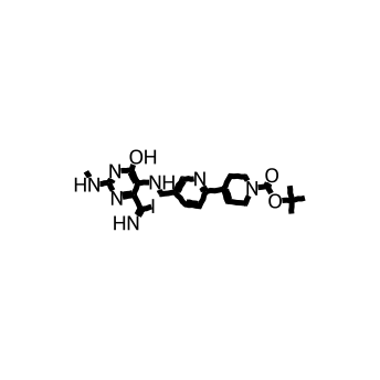 CNc1nc(O)c(NCc2ccc(C3=CCN(C(=O)OC(C)(C)C)CC3)nc2)c(C(=N)I)n1